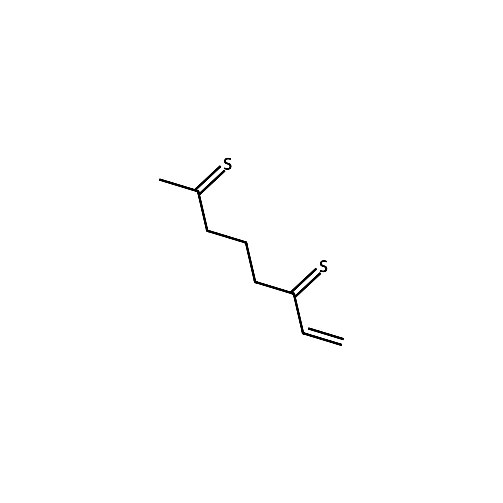 C=CC(=S)CCCC(C)=S